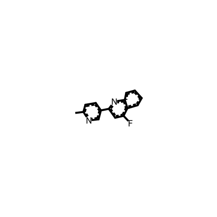 Cc1ccc(-c2cc(F)c3ccccc3n2)cn1